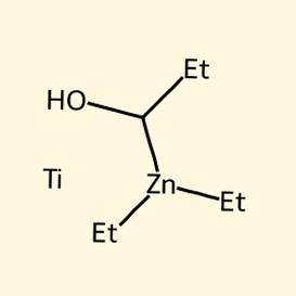 CC[CH](O)[Zn]([CH2]C)[CH2]C.[Ti]